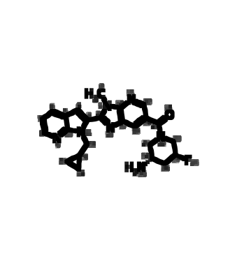 Cn1c(-c2cc3cccnc3n2CC2CC2)nc2cc(C(=O)N3C[C@@H](N)C[C@H](F)C3)cnc21